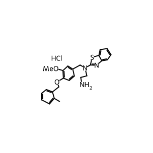 COc1cc(CN(CCN)c2nc3ccccc3s2)ccc1OCc1ccccc1C.Cl